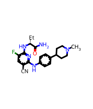 CC[C@@H](Nc1nc(Nc2ccc(C3CCN(C)CC3)cc2)c(C#N)cc1F)C(N)=O